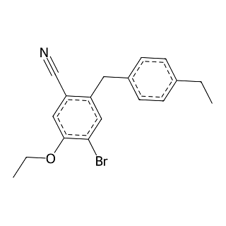 CCOc1cc(C#N)c(Cc2ccc(CC)cc2)cc1Br